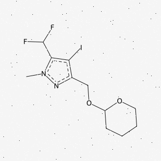 Cn1nc(COC2CCCCO2)c(I)c1C(F)F